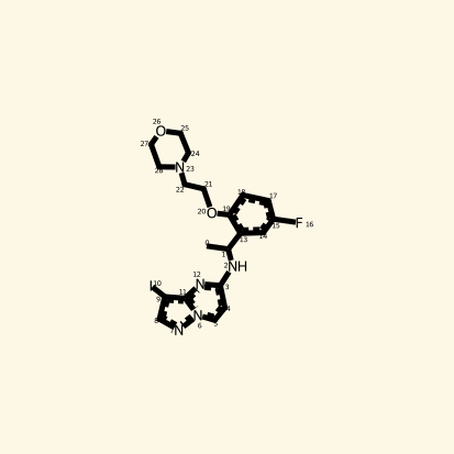 CC(Nc1ccn2ncc(I)c2n1)c1cc(F)ccc1OCCN1CCOCC1